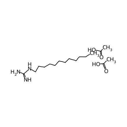 CC(=O)O.CC(=O)O.CCCCCCCCCCCCNC(=N)N